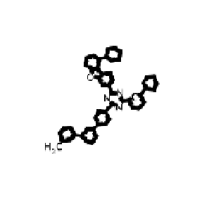 Cc1cccc(-c2cccc(-c3ccc(-c4nc(-c5cccc(-c6ccccc6)c5)nc(-c5ccc6c(c5)oc5cccc(-c7ccccc7)c56)n4)cc3)c2)c1